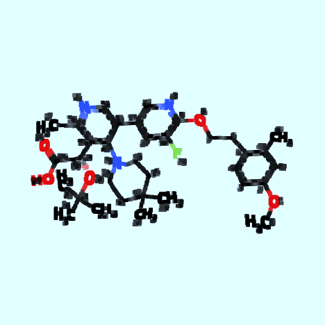 COc1ccc(CCOc2ncc(-c3cnc(C)c([C@H](OC(C)(C)C)C(=O)O)c3N3CCC(C)(C)CC3)cc2F)c(C)c1